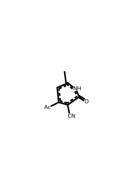 CC(=O)c1cc(C)[nH]c(=O)c1C#N